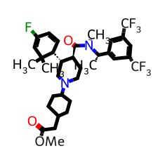 COC(=O)CC1CCC(N2CC[C@H](C(=O)N(C)[C@@H](C)c3cc(C(F)(F)F)cc(C(F)(F)F)c3)[C@@H](C3C=CC(F)=CC3(C)C)C2)CC1